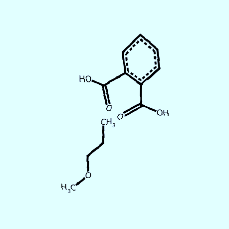 CCCOC.O=C(O)c1ccccc1C(=O)O